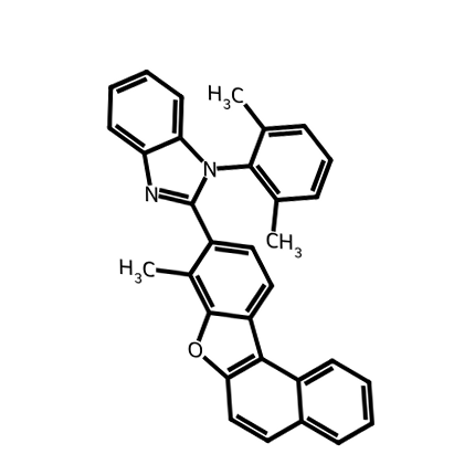 Cc1cccc(C)c1-n1c(-c2ccc3c(oc4ccc5ccccc5c43)c2C)nc2ccccc21